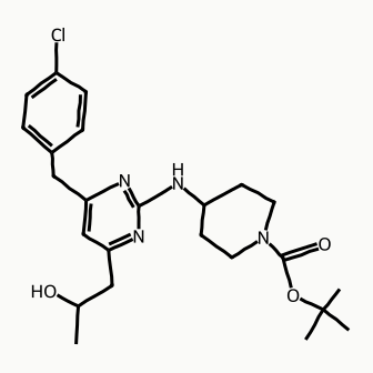 CC(O)Cc1cc(Cc2ccc(Cl)cc2)nc(NC2CCN(C(=O)OC(C)(C)C)CC2)n1